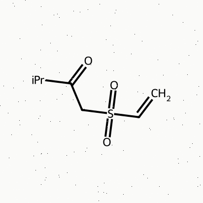 C=CS(=O)(=O)CC(=O)C(C)C